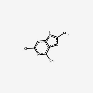 N#Cc1nc(Cl)cc2[nH]c(N)nc12